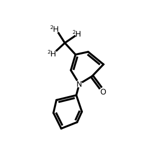 [2H]C([2H])([2H])c1ccc(=O)n(-c2ccccc2)c1